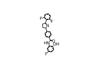 O=C(Nc1cc(F)ccc1O)c1ccc(C2CCC(c3c(F)cccc3F)=N2)cc1